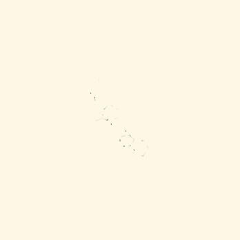 COC1Cc2ccn(Cc3cn4cc(C)ccc4n3)c(=O)c2C=N1